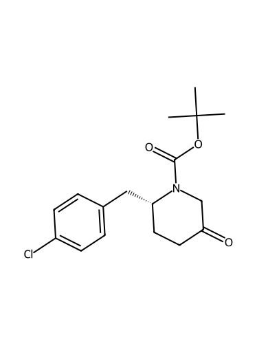 CC(C)(C)OC(=O)N1CC(=O)CC[C@@H]1Cc1ccc(Cl)cc1